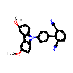 COc1ccc2c(c1)c1cc(OC)ccc1n2-c1ccc(-c2c(C#N)cccc2C#N)cc1